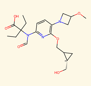 CCC(CC)(C(=O)O)N(C=O)c1ccc(N2CC(OC)C2)c(OCC2C[C@@H]2CO)n1